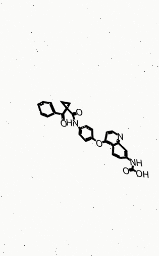 O=C(O)Nc1ccc2c(Oc3ccc(NC(=O)C4(C(=O)c5ccccc5)CC4)cc3)ccnc2c1